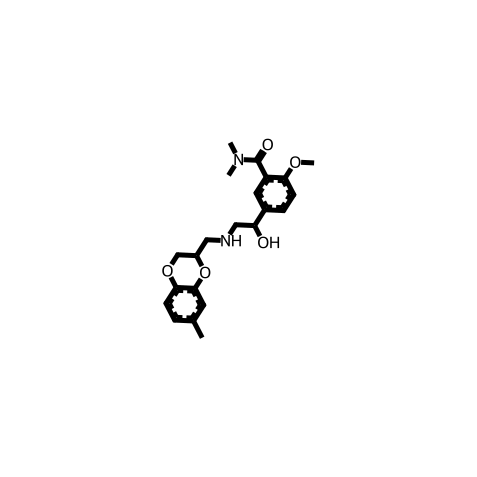 COc1ccc(C(O)CNCC2COc3ccc(C)cc3O2)cc1C(=O)N(C)C